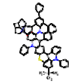 CC(C)(C)c1cc2c3c(c1)N(c1ccccc1)c1ccccc1B3c1cc3c(cc1S2)N(c1ccccc1)c1cc(N2C4CC5CC6CC2CC56C4)cc2c1B3c1ccccc1N2c1c(-c2ccccc2)cc(-c2ccccc2)cc1-c1ccccc1